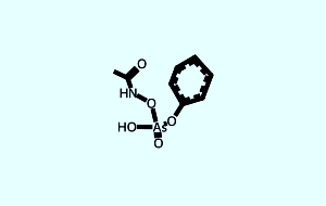 CC(=O)NO[As](=O)(O)Oc1ccccc1